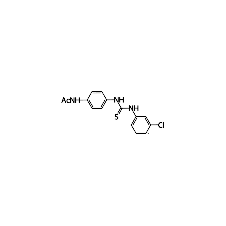 CC(=O)Nc1ccc(NC(=S)NC2=CC[CH]C(Cl)=C2)cc1